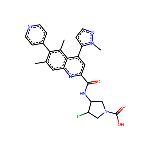 Cc1cc2nc(C(=O)NC3CN(C(=O)O)CC3F)cc(-c3ccnn3C)c2c(C)c1-c1ccncc1